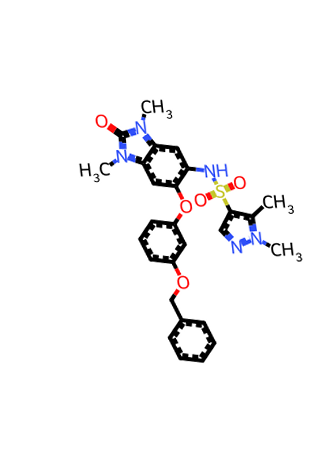 Cc1c(S(=O)(=O)Nc2cc3c(cc2Oc2cccc(OCc4ccccc4)c2)n(C)c(=O)n3C)cnn1C